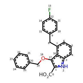 O=C(O)c1[nH]c2cccc(Cc3ccc(F)cc3)c2c1OCc1ccccc1